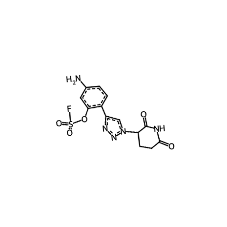 Nc1ccc(-c2cn(C3CCC(=O)NC3=O)nn2)c(OS(=O)(=O)F)c1